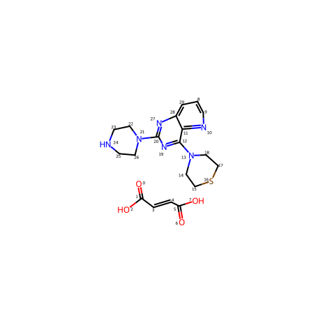 O=C(O)C=CC(=O)O.c1cnc2c(N3CCSCC3)nc(N3CCNCC3)nc2c1